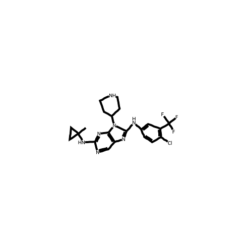 CC1(Nc2ncc3nc(Nc4ccc(Cl)c(C(F)(F)F)c4)n(C4CCNCC4)c3n2)CC1